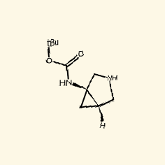 CC(C)(C)OC(=O)N[C@@]12CNC[C@@H]1C2